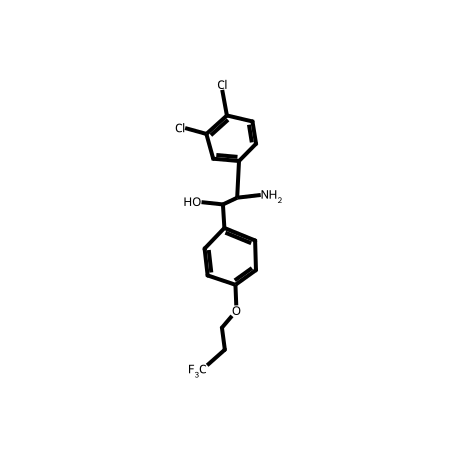 NC(c1ccc(Cl)c(Cl)c1)C(O)c1ccc(OCCC(F)(F)F)cc1